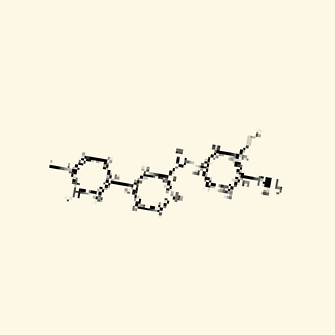 Cc1ccc(-c2ccnc(Oc3ccc(N)c(F)c3)c2)cn1